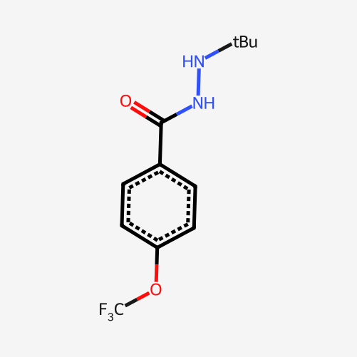 CC(C)(C)NNC(=O)c1ccc(OC(F)(F)F)cc1